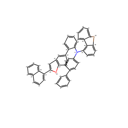 c1ccc(-c2ccc(N(c3ccccc3-c3ccc4oc(-c5cccc6ccccc56)cc4c3)c3cccc4sc5ccccc5c34)cc2)cc1